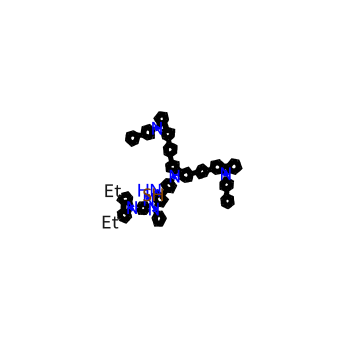 CCc1ccc2c(c1)c1cc(CC)ccc1n2-c1ccc(N(C2=CC=C(c3ccc(-n4c5ccc(-c6ccc(-c7ccc8c9ccccc9n(-c9ccc(-c%10ccccc%10)cc9)c8c7)cc6)cc5c5cc(-c6ccc(-c7ccc8c9ccccc9n(-c9ccc(-c%10ccccc%10)cc9)c8c7)cc6)ccc54)cc3)C(=N)/C2=N\S)c2ccccc2)cc1